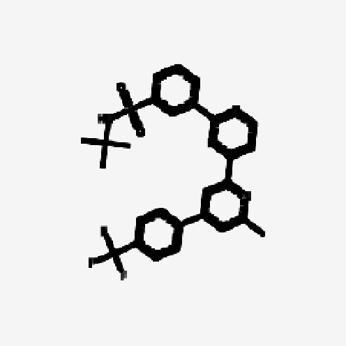 Cc1cc(-c2ccc(C(F)(F)F)cc2)cc(-c2ccnc(-c3cccc(S(=O)(=O)NC(C)(C)C)c3)n2)n1